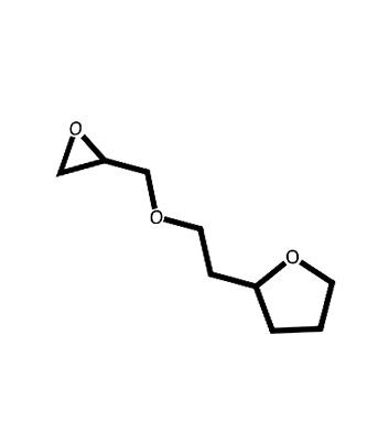 C1COC(CCOCC2CO2)C1